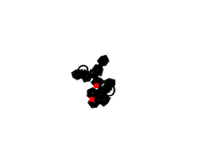 c1ccc(-c2ccc(N(c3ccc(-c4c5c(cc6oc7ccccc7c46)C4(c6ccccc6-c6ccccc64)c4ccccc4-5)cc3)c3ccc4c(c3)oc3ccccc34)cc2)cc1